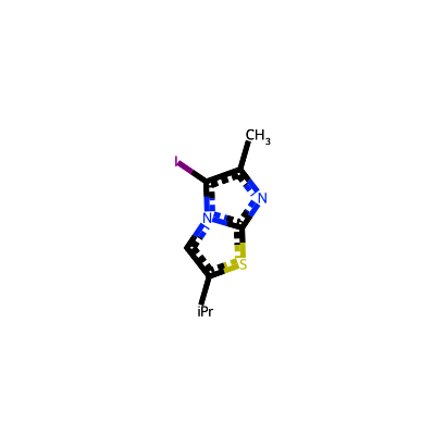 Cc1nc2sc(C(C)C)cn2c1I